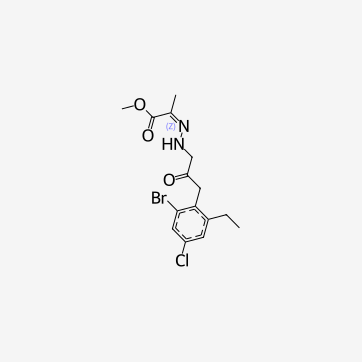 CCc1cc(Cl)cc(Br)c1CC(=O)CN/N=C(/C)C(=O)OC